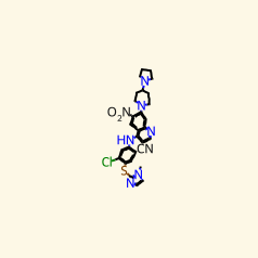 Cn1ccnc1Sc1ccc(Nc2c(C#N)cnc3cc(N4CCC(N5CCCC5)CC4)c([N+](=O)[O-])cc23)cc1Cl